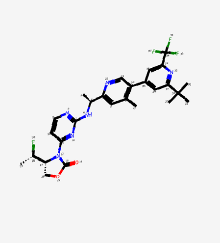 Cc1cc([C@H](C)Nc2nccc(N3C(=O)OC[C@@H]3[C@H](C)F)n2)ncc1-c1cc(C(C)(C)C)nc(C(F)(F)F)c1